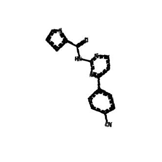 N#Cc1ccc(-c2ccnc(NC(=O)c3cccs3)n2)cc1